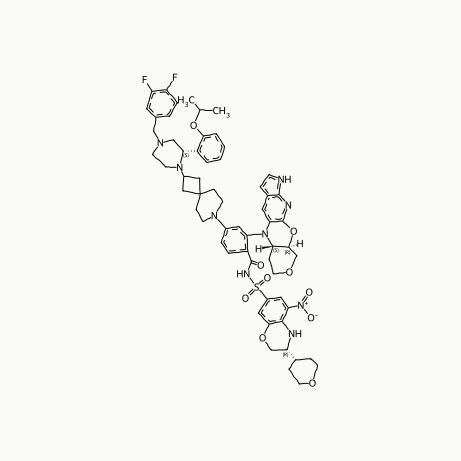 CC(C)Oc1ccccc1[C@H]1CN(Cc2ccc(F)c(F)c2)CCN1C1CC2(CCN(c3ccc(C(=O)NS(=O)(=O)c4cc5c(c([N+](=O)[O-])c4)N[C@H](C4CCOCC4)CO5)c(N4c5cc6cc[nH]c6nc5O[C@H]5COCC[C@@H]54)c3)CC2)C1